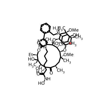 CC[C@H]1OC(=O)[C@H](C)[C@@H](O[C@H]2C[C@@](C)(OC)[C@@H](O)[C@H](C)O2)[C@H](C)[C@@H](O[C@@H]2O[C@H](C)C[C@H](N(C)Cc3ccccc3-c3cn(CCCCCC(=O)NO)nn3)[C@H]2O)[C@](C)(OC)C[C@@H](C)C(=O)[C@H](C)[C@@H](O)[C@]1(C)O